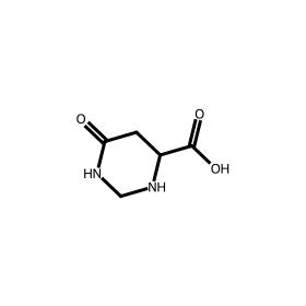 O=C1CC(C(=O)O)NCN1